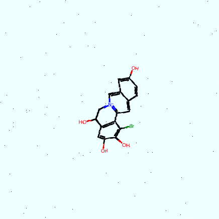 Oc1ccc2cc3[n+](cc2c1)CC(O)c1cc(O)c(O)c(Br)c1-3